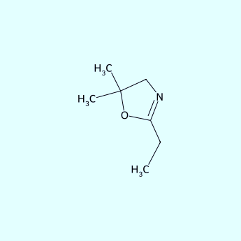 CCC1=NCC(C)(C)O1